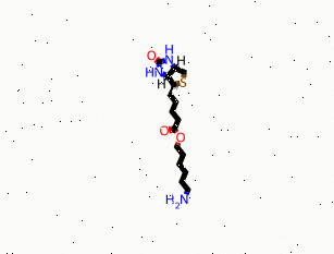 NCCCCCCOC(=O)CCCC[C@@H]1SC[C@@H]2NC(=O)N[C@@H]21